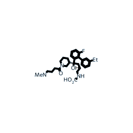 CCc1cccc(-c2c(F)cccc2C(O)(CCCNC(=O)O)[C@@H]2CCCN(C(=O)CCCNC)C2)c1